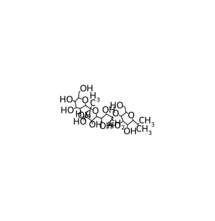 C=C(OC1C(CO)OC(C(C)C)C(O)C1O)C(O)C(O)C(OC(C)(C)C1OC(CO)C(O)C(O)C1O)C(O)CO